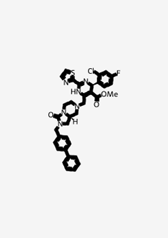 COC(=O)C1=C(CN2CCN3C(=O)N(Cc4ccc(-c5ccccc5)cc4)C[C@@H]3C2)NC(c2nccs2)=N[C@H]1c1ccc(F)cc1Cl